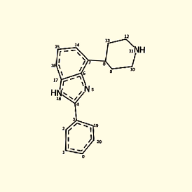 c1ccc(-c2nc3c(C4CCNCC4)cccc3[nH]2)cc1